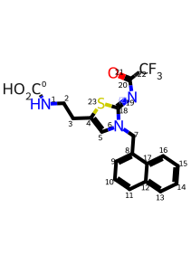 O=C(O)NCCc1cn(Cc2cccc3ccccc23)/c(=N/C(=O)C(F)(F)F)s1